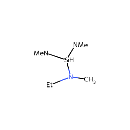 CCN(C)[SiH](NC)NC